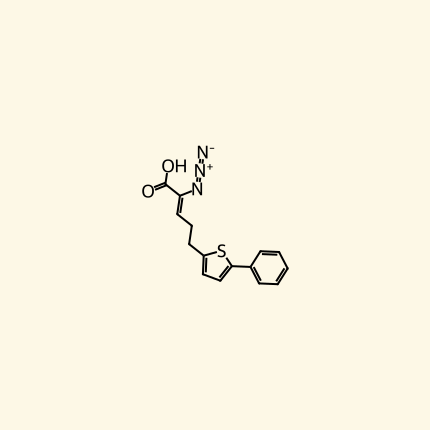 [N-]=[N+]=NC(=CCCc1ccc(-c2ccccc2)s1)C(=O)O